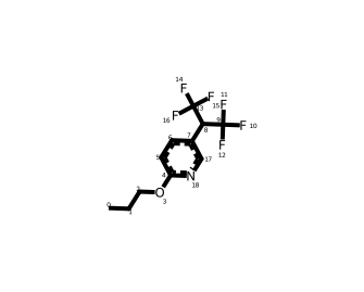 CCCOc1ccc(C(C(F)(F)F)C(F)(F)F)cn1